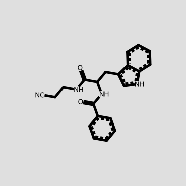 N#CCCNC(=O)C(Cc1c[nH]c2ccccc12)NC(=O)c1ccccc1